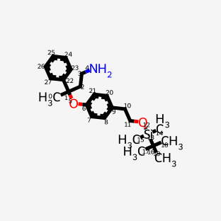 CC(CCN)(Oc1ccc(CCO[Si](C)(C)C(C)(C)C)cc1)c1ccccc1